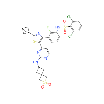 O=S1(=O)CC2(CC(Nc3nccc(-c4sc(C56CC(C5)C6)nc4-c4cccc(NS(=O)(=O)c5c(Cl)cccc5Cl)c4F)n3)C2)C1